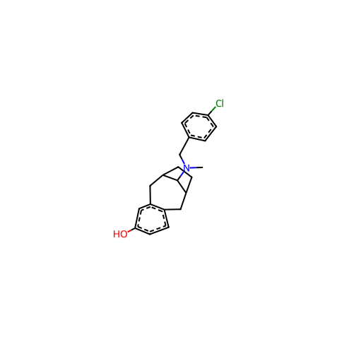 CN(Cc1ccc(Cl)cc1)C1C2CCC1Cc1cc(O)ccc1C2